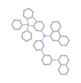 c1ccc(C2(c3ccccc3)c3ccccc3-c3ccc(N(c4cccc(-c5cccc(-c6cccc7ccccc67)c5)c4)c4cc5ccccc5c5ccccc45)cc32)cc1